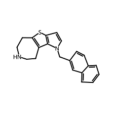 c1ccc2cc(Cn3ccc4sc5c(c43)CCNCC5)ccc2c1